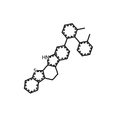 Cc1ccccc1-c1c(C)cccc1-c1ccc2c3c([nH]c2c1)-c1sc2ccccc2c1CC3